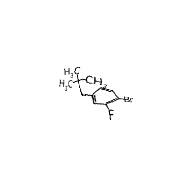 CC(C)(C)Cc1ccc(Br)c(F)c1